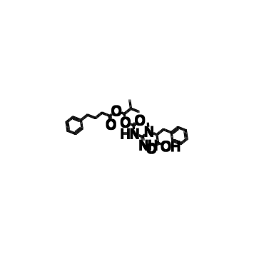 CC(C)C(OC(=O)CCCc1ccccc1)OC(=O)NC(=N)N(C)C(Cc1ccccc1)C(=O)O